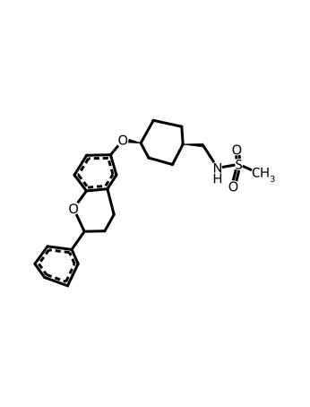 CS(=O)(=O)NC[C@H]1CC[C@@H](Oc2ccc3c(c2)CCC(c2ccccc2)O3)CC1